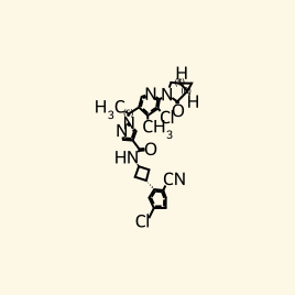 Cc1c([C@H](C)n2cc(C(=O)N[C@H]3C[C@@H](c4cc(Cl)ccc4C#N)C3)cn2)cnc(N2C[C@H]3C[C@H]3C2=O)c1Cl